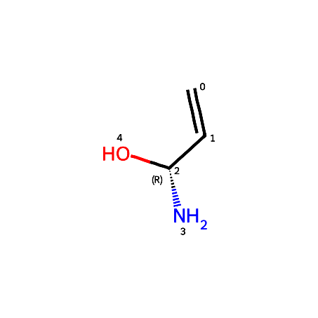 C=C[C@H](N)O